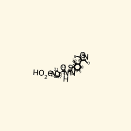 Cc1noc(C)c1-c1ccc2nc(NC(=O)[C@H]3CCN(C(=O)O)C3)sc2c1C